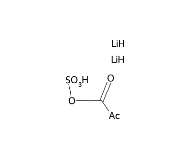 CC(=O)C(=O)OS(=O)(=O)O.[LiH].[LiH]